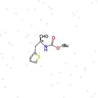 CC(C)(C)OC(=O)N[C@H](C=O)Cc1cccs1